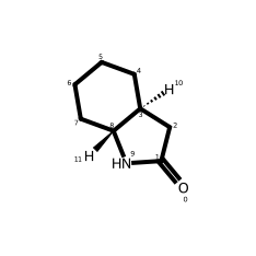 O=C1C[C@@H]2CCCC[C@H]2N1